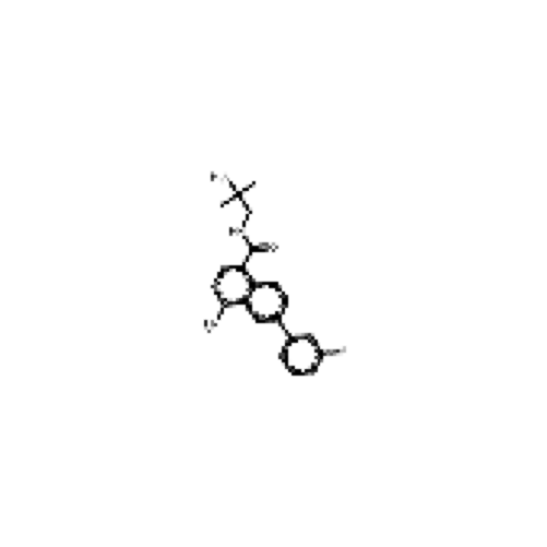 CC(C)(N)CNC(=O)c1cnc(N)c2cc(-c3cccc(F)c3)ccc12